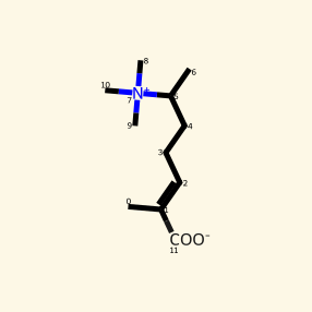 C/C(=C\CCC(C)[N+](C)(C)C)C(=O)[O-]